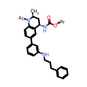 CC(=O)N1c2ccc(-c3cccc(NCCCc4ccccc4)c3)cc2[C@H](NC(=O)OC(C)C)C[C@@H]1C